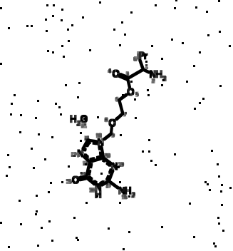 CC(C)C(N)C(=O)OCCOCn1cnc2c(=O)[nH]c(N)nc21.O